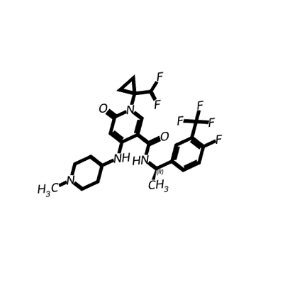 C[C@@H](NC(=O)c1cn(C2(C(F)F)CC2)c(=O)cc1NC1CCN(C)CC1)c1ccc(F)c(C(F)(F)F)c1